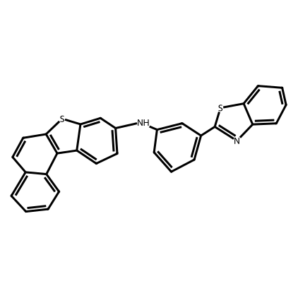 c1cc(Nc2ccc3c(c2)sc2ccc4ccccc4c23)cc(-c2nc3ccccc3s2)c1